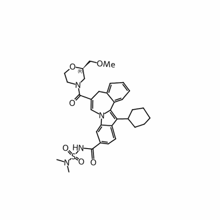 COC[C@H]1CN(C(=O)C2=Cn3c(c(C4CCCCC4)c4ccc(C(=O)NS(=O)(=O)N(C)C)cc43)-c3ccccc3C2)CCO1